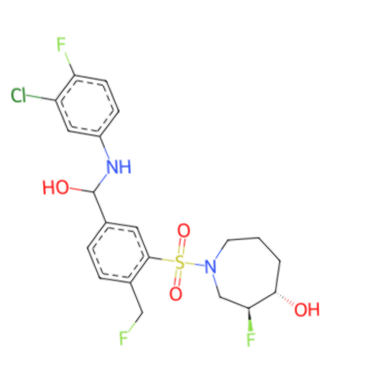 O=S(=O)(c1cc(C(O)Nc2ccc(F)c(Cl)c2)ccc1CF)N1CCC[C@H](O)[C@@H](F)C1